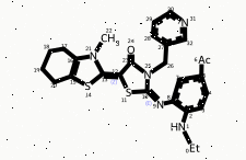 CCNc1ccc(C(C)=O)cc1/N=C1/S/C(=C2\SC3=C(CCCC3)N2C)C(=O)N1Cc1cccnc1